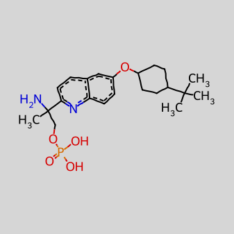 CC(N)(COP(=O)(O)O)c1ccc2cc(OC3CCC(C(C)(C)C)CC3)ccc2n1